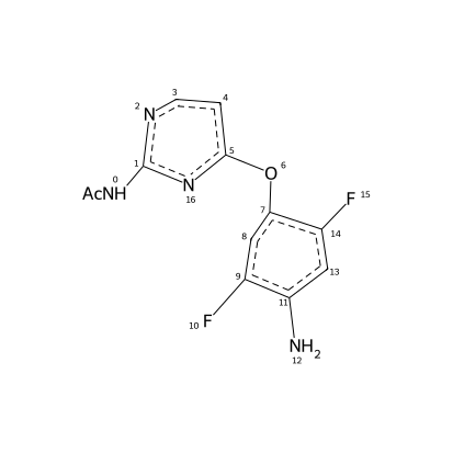 CC(=O)Nc1nccc(Oc2cc(F)c(N)cc2F)n1